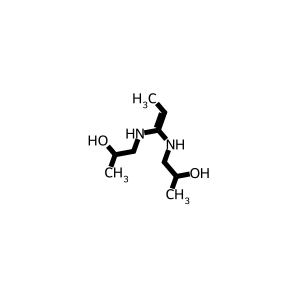 CC=C(NCC(C)O)NCC(C)O